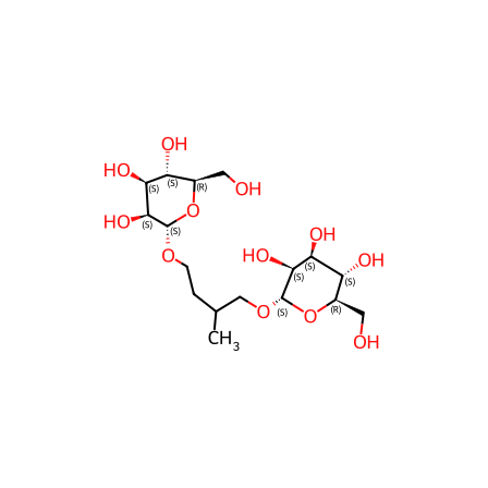 CC(CCO[C@H]1O[C@H](CO)[C@@H](O)[C@H](O)[C@@H]1O)CO[C@H]1O[C@H](CO)[C@@H](O)[C@H](O)[C@@H]1O